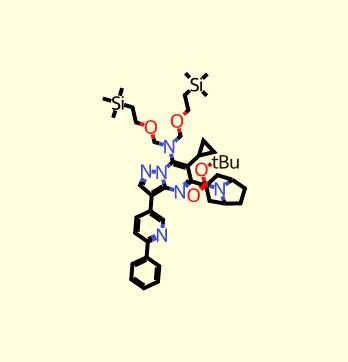 CC(C)(C)OC(=O)N1C2CCC1CC(c1nc3c(-c4ccc(-c5ccccc5)nc4)cnn3c(N(COCC[Si](C)(C)C)COCC[Si](C)(C)C)c1C1CC1)C2